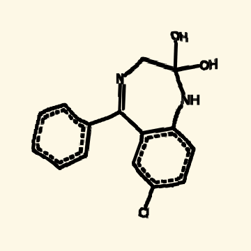 OC1(O)CN=C(c2ccccc2)c2cc(Cl)ccc2N1